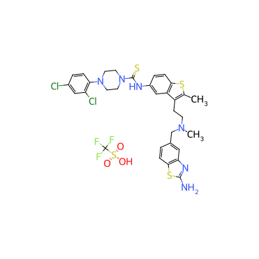 Cc1sc2ccc(NC(=S)N3CCN(c4ccc(Cl)cc4Cl)CC3)cc2c1CCN(C)Cc1ccc2sc(N)nc2c1.O=S(=O)(O)C(F)(F)F